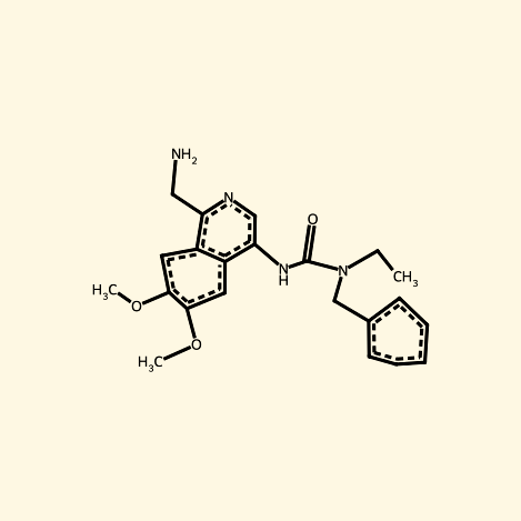 CCN(Cc1ccccc1)C(=O)Nc1cnc(CN)c2cc(OC)c(OC)cc12